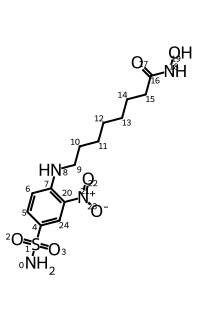 NS(=O)(=O)c1ccc(NCCCCCCCC(=O)NO)c([N+](=O)[O-])c1